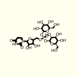 O=c1ccn(C2OC(COP(=O)(O[C@@H]3O[C@H](CO)[C@@H](O)[C@H](O)[C@H]3O)O[C@@H]3O[C@H](CO)[C@@H](O)[C@H](O)[C@H]3O)C(O)C2O)c(=O)[nH]1